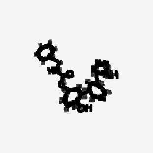 O=C(NCc1ccccc1)Oc1ccc(O)c(-c2cncc(-c3nnn[nH]3)c2)c1